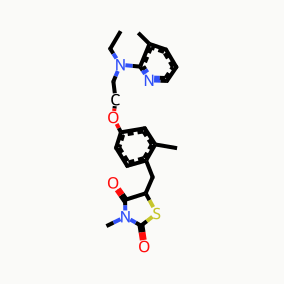 CCN(CCOc1ccc(CC2SC(=O)N(C)C2=O)c(C)c1)c1ncccc1C